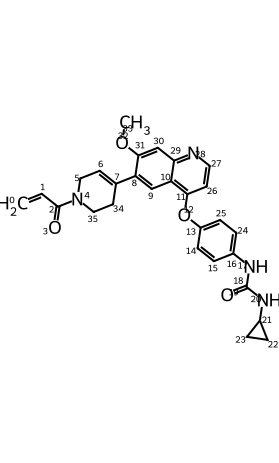 C=CC(=O)N1CC=C(c2cc3c(Oc4ccc(NC(=O)NC5CC5)cc4)ccnc3cc2OC)CC1